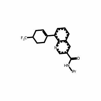 CC(C)NC(=O)c1cnc2c(C3=CCC(C(F)(F)F)CC3)cccc2c1